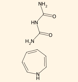 C1=CC=CNC=C1.NC(=O)NC(N)=O